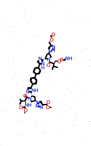 COC(=O)N[C@H](C(=O)N1C[C@H](n2cc(C(=O)OC)nn2)C[C@H]1c1ncc(-c2ccc(-c3ccc(-c4cnc([C@@H]5C[C@@H](n6cc(COC=O)nn6)CN5C(=O)[C@@H](COOC=N)C(C)C)[nH]4)cc3)cc2)[nH]1)C(C)C